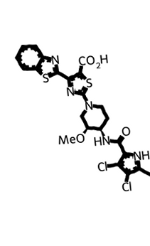 CO[C@H]1CN(c2nc(-c3nc4ccccc4s3)c(C(=O)O)s2)CC[C@H]1NC(=O)c1[nH]c(C)c(Cl)c1Cl